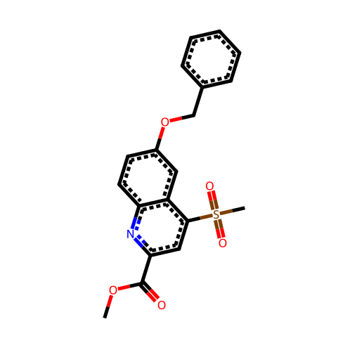 COC(=O)c1cc(S(C)(=O)=O)c2cc(OCc3ccccc3)ccc2n1